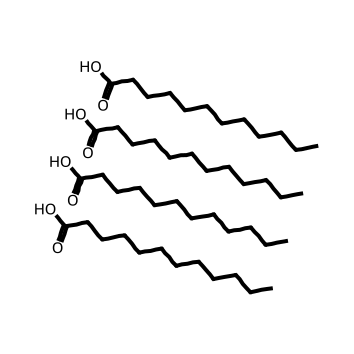 CCCCCCCCCCCC(=O)O.CCCCCCCCCCCC(=O)O.CCCCCCCCCCCC(=O)O.CCCCCCCCCCCC(=O)O